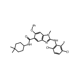 CC(C)Oc1cc2c(cc1C(=O)NC1CCC(C)(C)CC1)nc(Nc1c(Cl)ccc(Cl)c1F)n2C